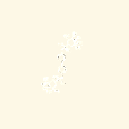 CC1(C)CC([N+](C)(C)Cc2ccc(-c3ccc(C[N+](C)(C)C4CC(C)(C)N(O)C(C)(C)C4)cc3)cc2)CC(C)(C)N1O